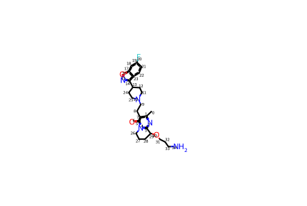 Cc1nc2n(c(=O)c1CCN1CCC(c3noc4cc(F)ccc34)CC1)CCCC2OCCCN